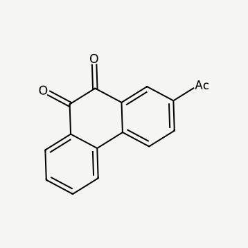 CC(=O)c1ccc2c(c1)C(=O)C(=O)c1ccccc1-2